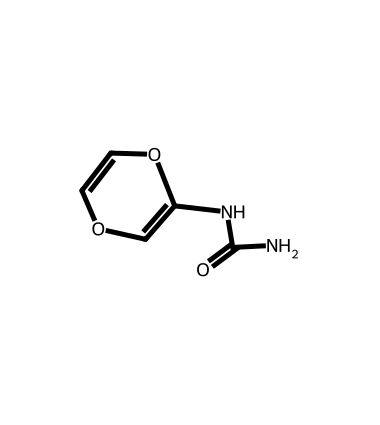 NC(=O)NC1=COC=CO1